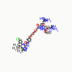 Cc1sc2c(c1C)C(c1ccc(Cl)cc1)=N[C@@H](CC(=O)Nc1ccc(OCCOCCOCCNC(=O)[C@H](CCCNC(=N)N)NC(=O)[C@H](CCCNC(=N)N)NC(=O)OC(C)(C)C)cc1)c1nnc(C)n1-2